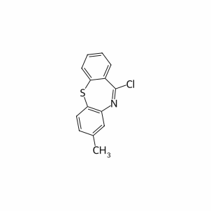 Cc1ccc2c(c1)N=C(Cl)c1ccccc1S2